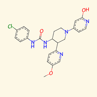 COc1ccc(C2CN(c3ccnc(O)c3)CCC2NC(=O)Nc2ccc(Cl)cc2)nc1